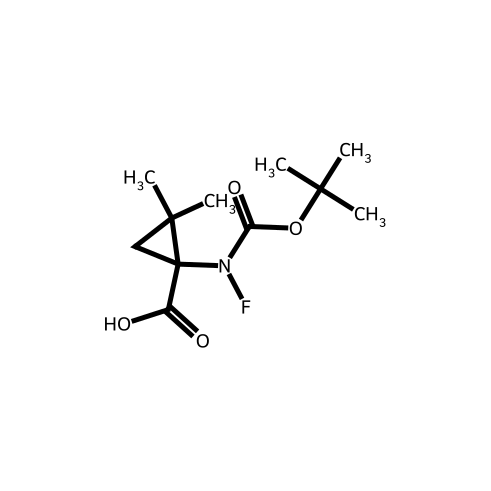 CC(C)(C)OC(=O)N(F)C1(C(=O)O)CC1(C)C